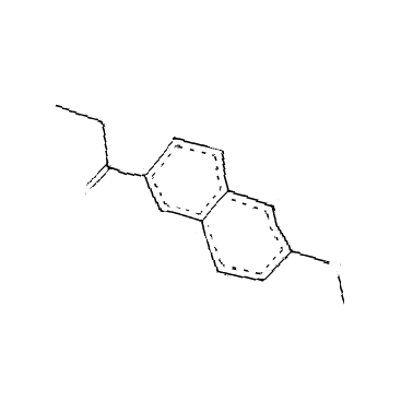 CCC(=O)c1ccc2cc(OC)ccc2c1